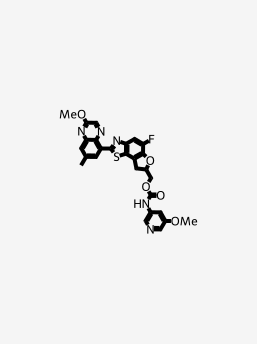 COc1cncc(NC(=O)OCC2Cc3c(c(F)cc4nc(-c5cc(C)cc6nc(OC)cnc56)sc34)O2)c1